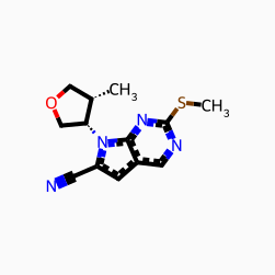 CSc1ncc2cc(C#N)n([C@@H]3COC[C@@H]3C)c2n1